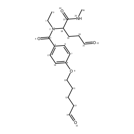 CCN(C(=O)c1ccc(OCCCCC=O)cc1)C(CCC=O)C(=O)NC